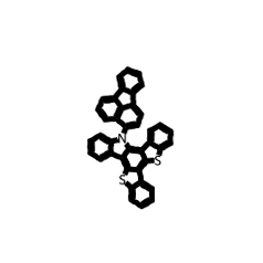 c1ccc2c(c1)-c1cccc3c(-n4c5ccccc5c5c6sc7ccccc7c6c6sc7ccccc7c6c54)ccc-2c13